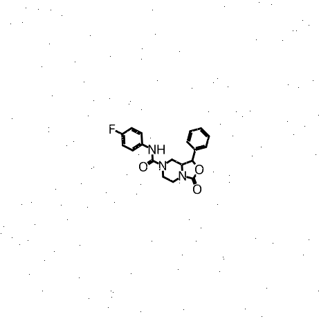 O=C(Nc1ccc(F)cc1)N1CCN2C(=O)OC(c3ccccc3)C2C1